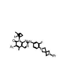 CC(=O)c1c(C)c2cnc(Nc3ccc(N4CC5(C4)CN(C(C)C)C5)c(F)c3)nc2n(C23CC(C2)[C@H]3C)c1=O